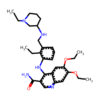 CCOc1cc2ncc(C(N)=O)c(Nc3cccc(CNC4CCCN(CC)C4)c3CC)c2cc1OCC